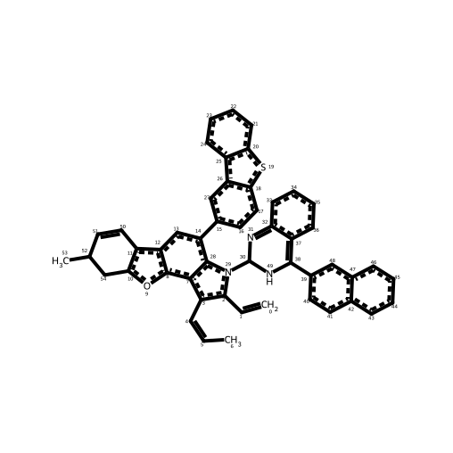 C=Cc1c(/C=C\C)c2c3oc4c(c3cc(-c3ccc5sc6ccccc6c5c3)c2n1C1N=c2ccccc2=C(c2ccc3ccccc3c2)N1)C=CC(C)C4